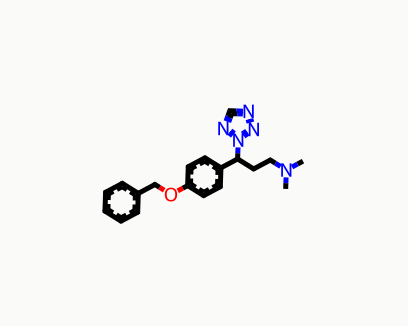 CN(C)CCC(c1ccc(OCc2ccccc2)cc1)n1ncnn1